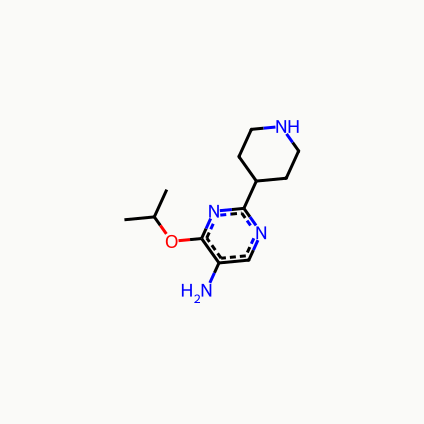 CC(C)Oc1nc(C2CCNCC2)ncc1N